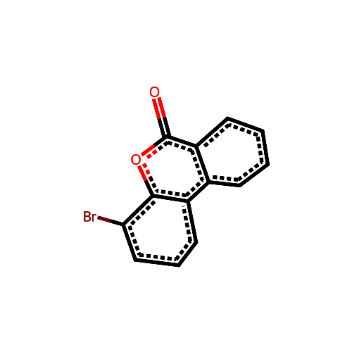 O=c1oc2c(Br)cccc2c2ccccc12